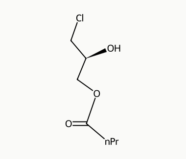 CCCC(=O)OC[C@H](O)CCl